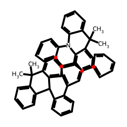 CC1(C)c2ccccc2C(c2ccccc2-c2cc(-c3ccccc3)cc(-c3ccccc3N3c4ccccc4C(C)(C)c4ccccc43)c2)c2ccccc21